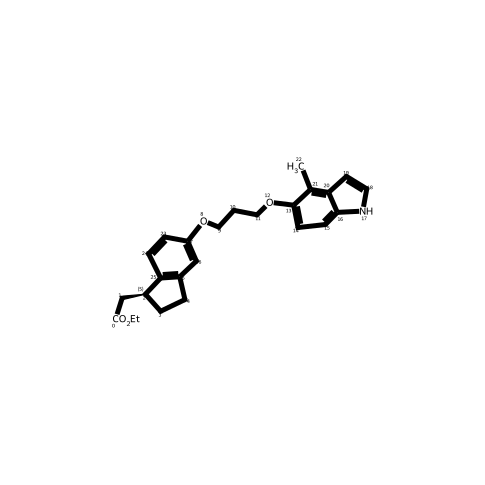 CCOC(=O)C[C@@H]1CCc2cc(OCCCOc3ccc4[nH]ccc4c3C)ccc21